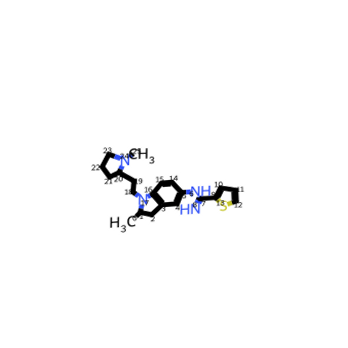 CC1Cc2cc(NC(=N)c3cccs3)ccc2N1CCC1CCCN1C